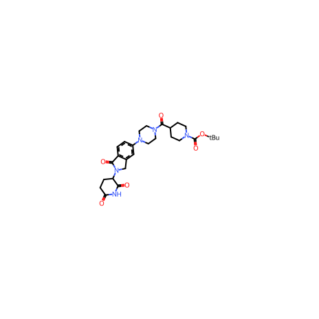 CC(C)(C)OC(=O)N1CCC(C(=O)N2CCN(c3ccc4c(c3)CN(C3CCC(=O)NC3=O)C4=O)CC2)CC1